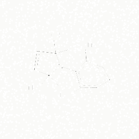 Cc1cccc(C)c1N1C(C)(C)C=CC1(C)C